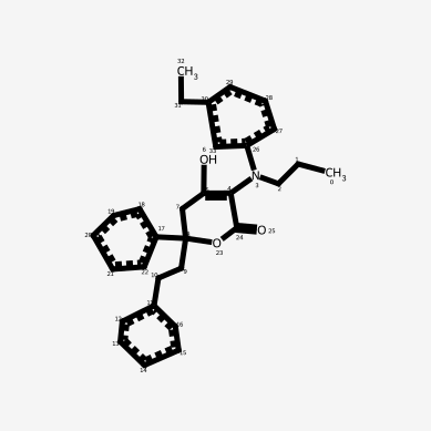 CCCN(C1=C(O)CC(CCc2ccccc2)(c2ccccc2)OC1=O)c1cccc(CC)c1